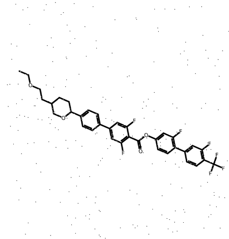 CCOCCC1CCC(c2ccc(-c3cc(F)c(C(=O)Oc4ccc(-c5ccc(C(F)(F)F)c(F)c5)c(F)c4)c(F)c3)cc2)OC1